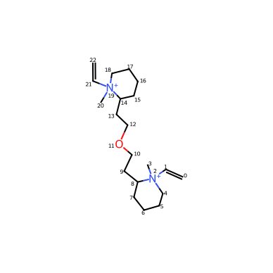 C=C[N+]1(C)CCCCC1CCOCCC1CCCC[N+]1(C)C=C